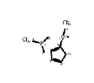 CP(C)C.[CH3][V+2][C]1=CC=CC1.[Cl-].[Cl-]